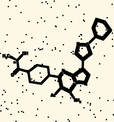 CC(=O)c1c(C2CCN(C(=O)[C@@H](C)O)CC2)nc2c(-c3cnn(-c4ccccc4)c3)cnn2c1N